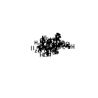 C[C@H](CCC(=O)O)NC(=O)[C@H](Cc1c[nH]c2ccccc12)NC(=O)[C@H](CCC(=O)O)NC(=O)[C@H](Cc1ccccc1)NC(=O)[C@H](CCC(=O)O)NC(=O)[C@H](CCC(N)=O)NC(=O)[C@@H](N)CCC(N)=O